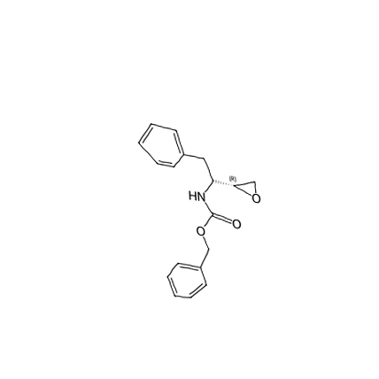 O=C(NC(Cc1ccccc1)[C@@H]1CO1)OCc1ccccc1